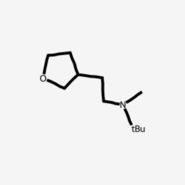 CN(CCC1CCOC1)C(C)(C)C